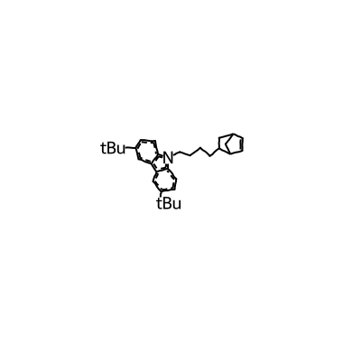 CC(C)(C)c1ccc2c(c1)c1cc(C(C)(C)C)ccc1n2CCCCC1CC2C=CC1C2